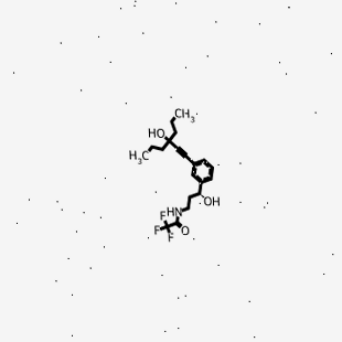 CCCC(O)(C#Cc1cccc([C@H](O)CCNC(=O)C(F)(F)F)c1)CCC